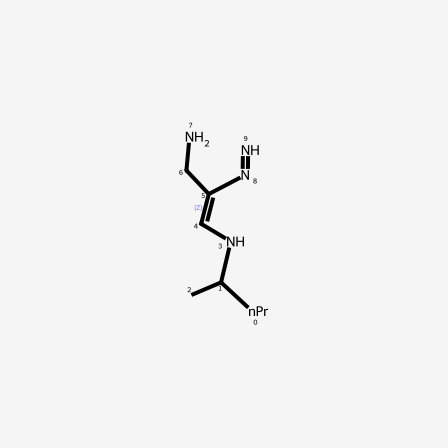 CCCC(C)N/C=C(/CN)N=N